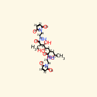 CC(O)CC(CC(O)C(O)C(C)C(=O)NCCN1C(=O)C=CC1=O)C(=O)NCCN1C(=O)C=CC1=O